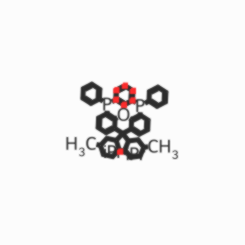 CC1CCC(C(C)C)C(C2(C3CC(C)CCC3C(C)C)c3cccc(P(c4ccccc4)c4ccccc4)c3Oc3c(P(c4ccccc4)c4ccccc4)cccc32)C1